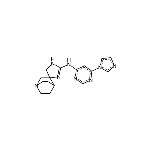 c1cn(-c2cc(NC3=NC4(CN3)CN3CCC4CC3)ncn2)cn1